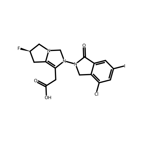 O=C(O)CC1=C2C[C@@H](F)CN2CN1N1Cc2c(Cl)cc(I)cc2C1=O